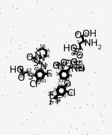 CP(=O)(O)CCC(N)C(=O)O.CS(=O)(=O)NC(=O)c1cc(Oc2ccc(C(F)(F)F)cc2Cl)ccc1[N+](=O)[O-].O=C(O)CSc1cc(N=c2sc(=O)n3n2CCCC3)c(F)cc1Cl